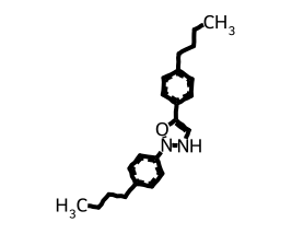 CCCCc1ccc(C2=CNN(c3ccc(CCCC)cc3)O2)cc1